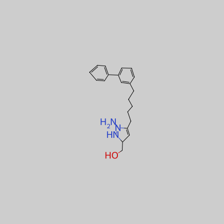 NN1NC(CO)C=C1CCCCCc1cccc(-c2ccccc2)c1